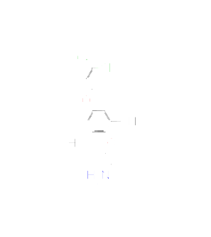 Cc1cc(OCC=C(Cl)Cl)cc(C)c1OCCN